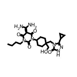 CCCCN1C(=O)C(=C(N)N)C(=O)N(C2CCC(CO)(Cn3c(C4CC4)n[nH]c3=O)CC2)C1=O